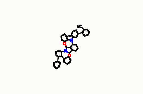 N#Cc1ccccc1-c1ccc2c3ccccc3n(-c3cccc4c3C(=O)N(c3cccc(-c5ccccc5)c3-c3ccccc3)C4=O)c2c1